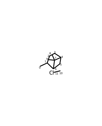 CC1CCC2CC1C2(C)C.CCl